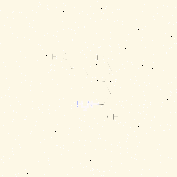 [CH2]C(N)CC(CC)CCCC